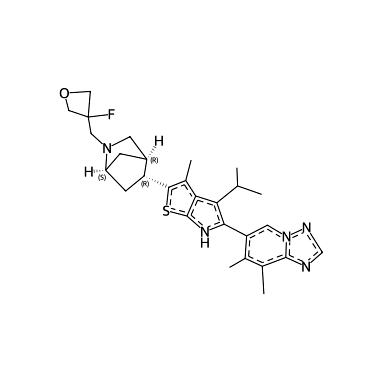 Cc1c(-c2[nH]c3sc([C@@H]4C[C@@H]5C[C@H]4CN5CC4(F)COC4)c(C)c3c2C(C)C)cn2ncnc2c1C